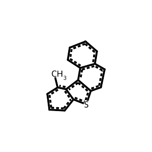 Cc1cccc2sc3ccc4ccccc4c3c12